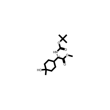 COC(=O)[C@@H](NC(=O)OC(C)(C)C)C1CCC(C)(O)CC1